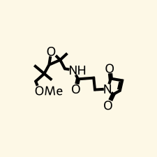 COCC(C)(C)C1OC1(C)CNC(=O)CCN1C(=O)C=CC1=O